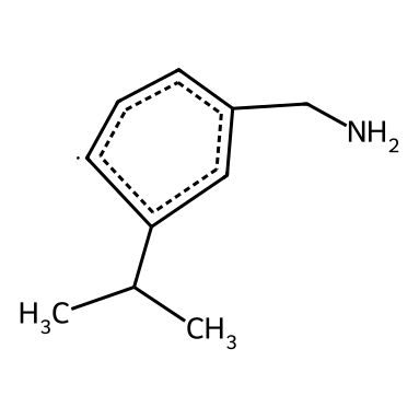 CC(C)c1[c]ccc(CN)c1